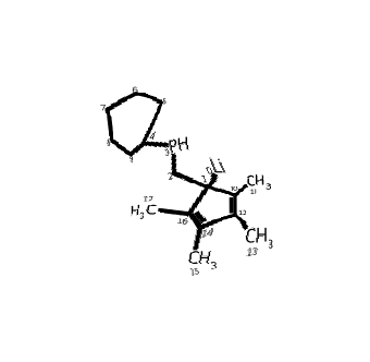 [Li][C]1(CPC2CCCCC2)C(C)=C(C)C(C)=C1C